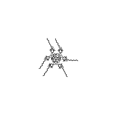 CCCCCCCCON1C(C)(C)CC(OC(=O)C(C(=O)OC2CC(C)(C)N(OCCCCCCCC)C(C)(C)C2)=C2NC(=C(C(=O)OC3CC(C)(C)N(OCCCCCCCC)C(C)(C)C3)C(=O)OC3CC(C)(C)N(OCCCCCCCC)C(C)(C)C3)NC(=C(C(=O)OC3CC(C)(C)N(OCCCCCCCC)C(C)(C)C3)C(=O)OC3CC(C)(C)N(OCCCCCCCC)C(C)(C)C3)N2)CC1(C)C